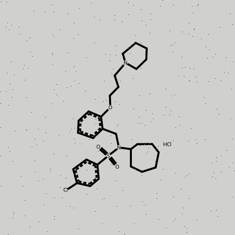 Cl.O=S(=O)(c1ccc(Cl)cc1)N(Cc1ccccc1OCCCN1CCCCC1)C1CCCCCC1